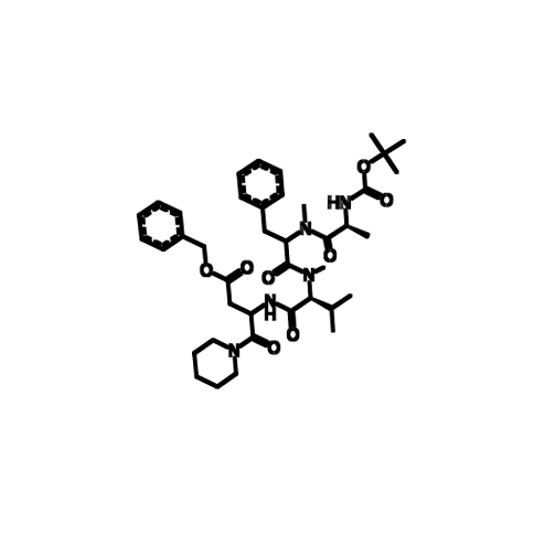 CC(C)[C@@H](C(=O)NC(CC(=O)OCc1ccccc1)C(=O)N1CCCCC1)N(C)C(=O)C(Cc1ccccc1)N(C)C(=O)[C@H](C)NC(=O)OC(C)(C)C